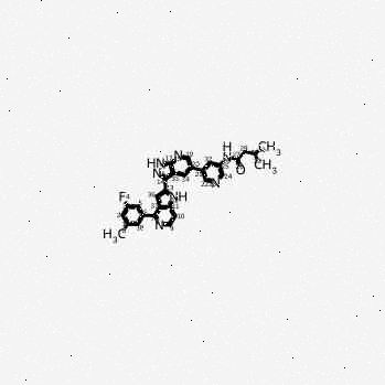 Cc1cc(F)cc(-c2nccc3[nH]c(-c4n[nH]c5ncc(-c6cncc(NC(=O)CC(C)C)c6)cc45)cc23)c1